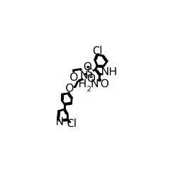 NC(=O)c1[nH]c2ccc(Cl)cc2c1S(=O)(=O)N1CCOC(COc2ccc(-c3ccnc(Cl)c3)cc2)C1